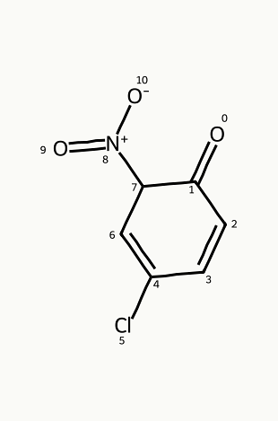 O=C1C=CC(Cl)=CC1[N+](=O)[O-]